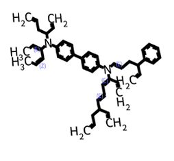 C=CCC(C=C)/C=C/C=C(\C=C)N(/C=C/CC(C=C)c1ccccc1)c1ccc(-c2ccc(N(C(/C=C\C)=C/C)C(C=C)CC=C)cc2)cc1